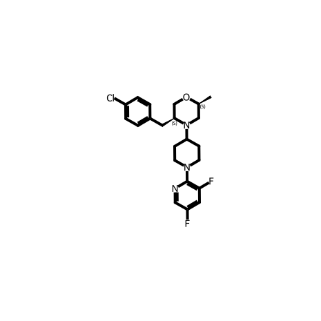 C[C@H]1CN(C2CCN(c3ncc(F)cc3F)CC2)[C@@H](Cc2ccc(Cl)cc2)CO1